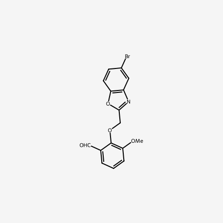 COc1cccc(C=O)c1OCc1nc2cc(Br)ccc2o1